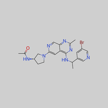 CC(=O)N[C@@H]1CCN(c2cc3c(NC(C)c4cncc(Br)c4)nc(C)nc3cn2)C1